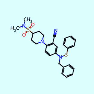 CN(C)S(=O)(=O)C1CCN(c2ccc(N(Cc3ccccc3)Sc3ccccc3)cc2C#N)CC1